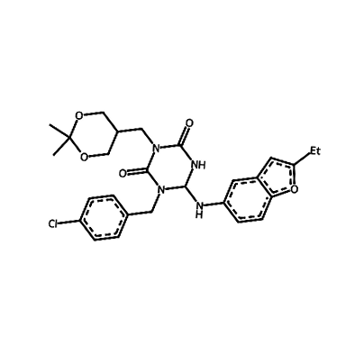 CCc1cc2cc(NC3NC(=O)N(CC4COC(C)(C)OC4)C(=O)N3Cc3ccc(Cl)cc3)ccc2o1